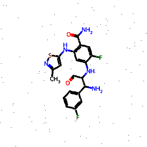 Cc1cc(Nc2cc(NC(C=O)C(N)c3cccc(F)c3)c(F)cc2C(N)=O)sn1